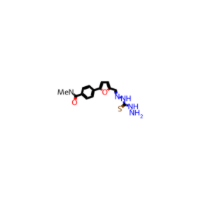 CNC(=O)c1ccc(-c2ccc(C=NNC(=S)NN)o2)cc1